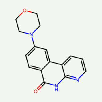 O=c1[nH]c2ncccc2c2cc(N3CCOCC3)ccc12